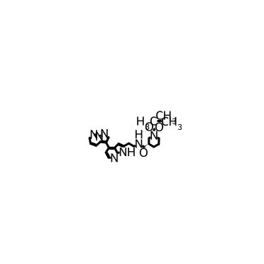 CC(C)(C)OC(=O)N1CCC[C@H](C(=O)NCCc2cc3c(-c4cnn5ncccc45)ccnc3[nH]2)C1